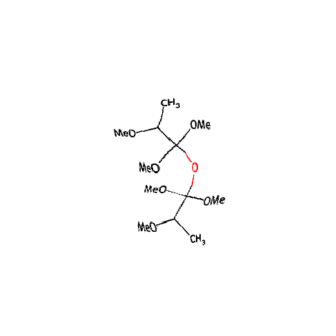 COC(C)C(OC)(OC)OC(OC)(OC)C(C)OC